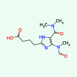 CN(C)C(=O)c1[nH]c(CCCC(=O)O)nc1N(C)C=O